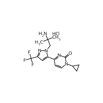 CC(C)(N)Cn1nc(C(F)(F)F)cc1-c1ccn(C2CC2)c(=O)n1.Cl